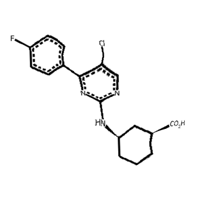 O=C(O)[C@H]1CCC[C@@H](Nc2ncc(Cl)c(-c3ccc(F)cc3)n2)C1